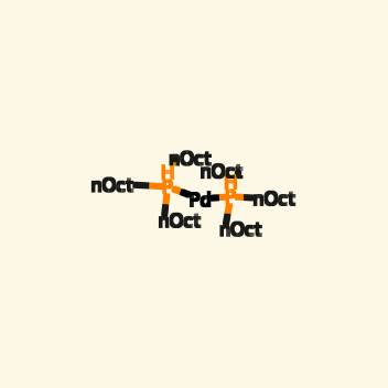 CCCCCCCC[PH](CCCCCCCC)(CCCCCCCC)[Pd][PH](CCCCCCCC)(CCCCCCCC)CCCCCCCC